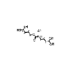 O=C(NCCCC(S)S)OCCCC(S)S.[Zn]